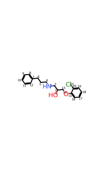 OC(CNCCCc1ccccc1)COc1ccccc1Cl